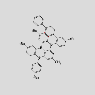 Cc1cc2c3c(c1)N(c1ccc(C(C)(C)C)cc1-c1ccc(-c4ccccc4)cc1)c1ccc(C(C)(C)C)cc1B3c1cc(C(C)(C)C)ccc1N2c1ccc(C(C)(C)C)cc1